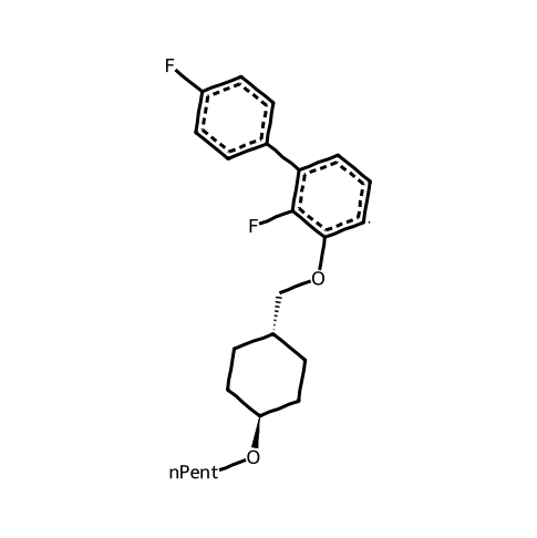 CCCCCO[C@H]1CC[C@H](COc2[c]ccc(-c3ccc(F)cc3)c2F)CC1